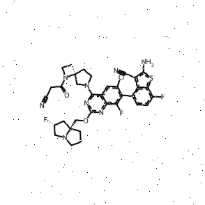 N#CCC(=O)N1CC[C@@]12CCN(c1nc(OC[C@@]34CCCN3C[C@H](F)C4)nc3c(F)c(-c4ccc(F)c5sc(N)c(C#N)c45)c(Cl)cc13)C2